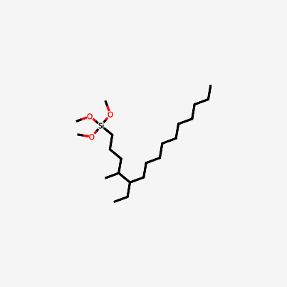 CCCCCCCCCCC(CC)C(C)CCC[Si](OC)(OC)OC